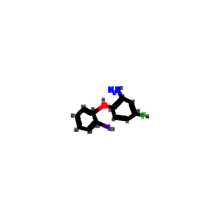 Nc1cc(F)ccc1Oc1ccccc1I